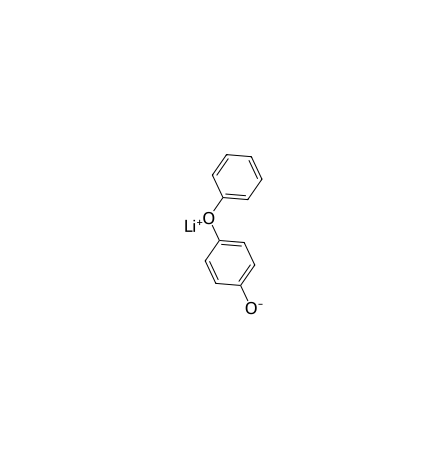 [Li+].[O-]c1ccc(Oc2ccccc2)cc1